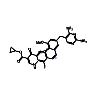 COc1cc(Cc2cnc(N)nc2N)cc(/C=C\c2c(F)cc3c(=O)c(C(=O)OC4CC4)c[nH]c3c2F)c1OC